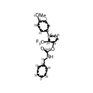 COc1ccc(-n2ncc(OC(=O)NCc3ccccc3)c2C(F)(F)F)cc1